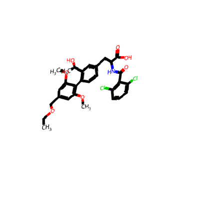 CCOCc1cc(OC)c(-c2ccc(CC(NC(=O)c3c(Cl)cccc3Cl)C(=O)O)cc2C(C)O)c(OC)c1